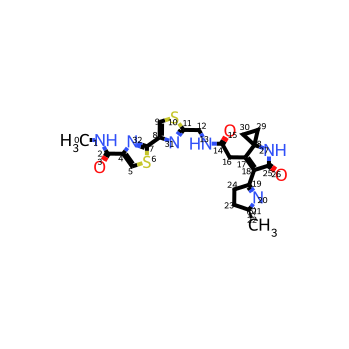 CNC(=O)c1csc(-c2csc(CNC(=O)CC3=C(C4=N[C@@H](C)CC4)C(=O)NC34CC4)n2)n1